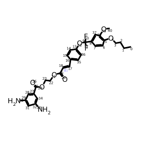 CCCCOc1ccc(C(F)(F)Oc2ccc(/C=C/C(=O)OCCOC(=O)c3cc(N)cc(N)c3)cc2)cc1OC